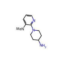 CNc1cccnc1N1CCC(N)CC1